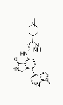 Cn1ccc2c(-c3ccc(Nc4cc(C5CCNCC5)n[nH]4)c4c3CNC4=O)ccnc21